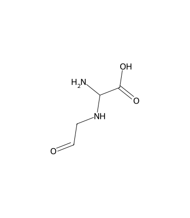 NC(NCC=O)C(=O)O